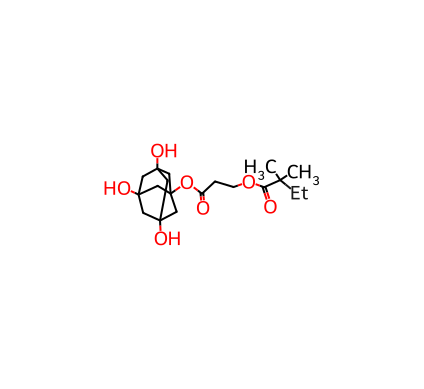 CCC(C)(C)C(=O)OCCC(=O)OC12CC3(O)CC(O)(CC(O)(C3)C1)C2